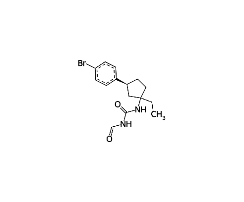 CCC1(NC(=O)NC=O)CC[C@H](c2ccc(Br)cc2)C1